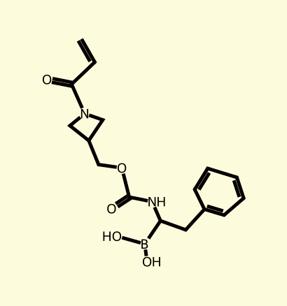 C=CC(=O)N1CC(COC(=O)NC(Cc2ccccc2)B(O)O)C1